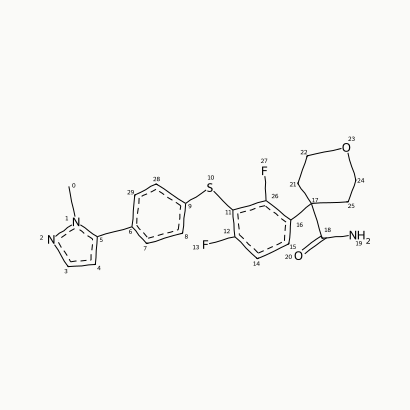 Cn1nccc1-c1ccc(Sc2c(F)ccc(C3(C(N)=O)CCOCC3)c2F)cc1